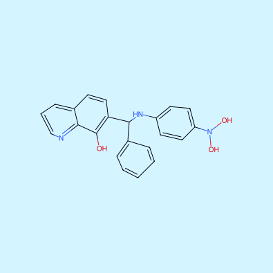 Oc1c(C(Nc2ccc(N(O)O)cc2)c2ccccc2)ccc2cccnc12